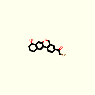 O=C(CBr)c1ccc2c(c1)COc1cc3c(cc1-2)CCCC3O